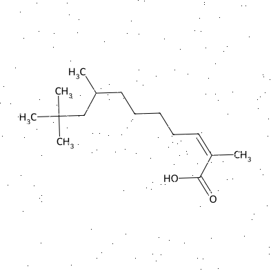 CC(=CCCCCC(C)CC(C)(C)C)C(=O)O